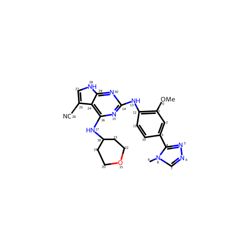 COc1cc(-c2nncn2C)ccc1Nc1nc(NC2CCOCC2)c2c(C#N)c[nH]c2n1